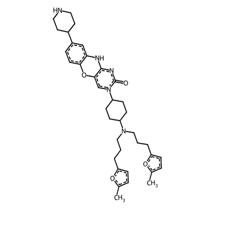 Cc1ccc(CCCN(CCCc2ccc(C)o2)C2CCC(n3cc4c(nc3=O)Nc3cc(C5CCNCC5)ccc3O4)CC2)o1